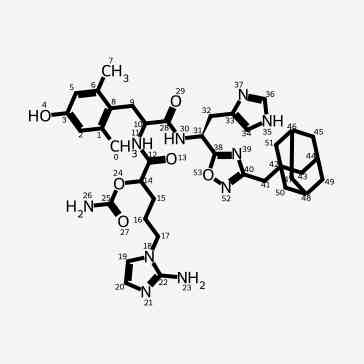 Cc1cc(O)cc(C)c1CC(NC(=O)C(CCCn1ccnc1N)OC(N)=O)C(=O)N[C@@H](Cc1c[nH]cn1)c1nc(CC23CC4CC(CC(C4)C2)C3)no1